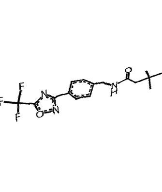 CC(C)(C)CC(=O)NCc1ccc(-c2noc(C(F)(F)F)n2)cc1